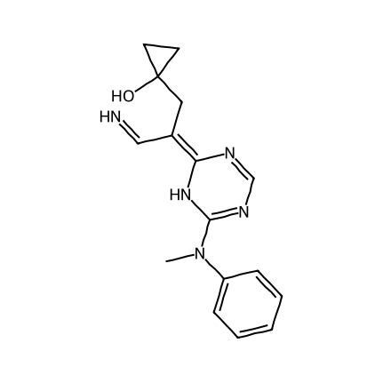 CN(C1=NC=N/C(=C(/C=N)CC2(O)CC2)N1)c1ccccc1